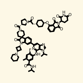 Cc1cc(F)c(Nc2nc(-c3ccc4c(c3)N([C@H]3C[C@@H](N5CCCCC5)C3)C(=O)C43CCN(C(=O)[C@@H]4CCN(C(=O)C[C@H]5CC[C@H](Oc6cccc7c6C(=O)N(C6CCC(=O)NC6=O)C7=O)CC5)C4)CC3)cc3ncn(C(C)C)c23)cc1C(=O)NC(C)C